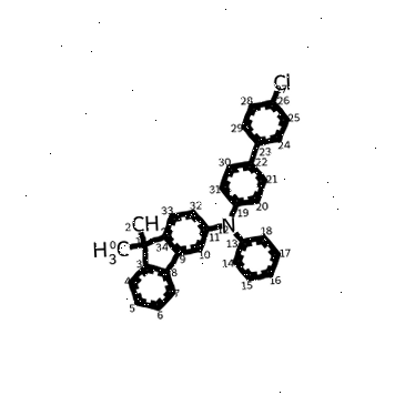 CC1(C)c2ccccc2-c2cc(N(c3ccccc3)c3ccc(-c4ccc(Cl)cc4)cc3)ccc21